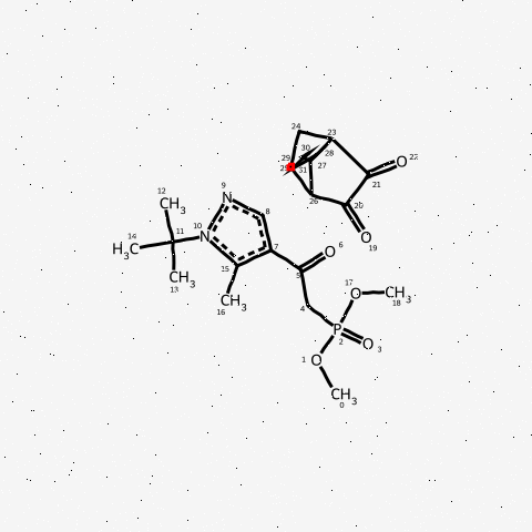 COP(=O)(CC(=O)c1cnn(C(C)(C)C)c1C)OC.O=C1C(=O)C2CCC1C21CCCC1